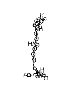 O=C(COCCOCCOCCCc1ccc(-c2nn(-c3nc4cc(Cl)ccc4[nH]3)c(O)c2CCc2ccc(F)cc2)cc1)NCCOCCOCCNc1cccc2c1C(=O)N(C1CCC(=O)NC1=O)C2=O